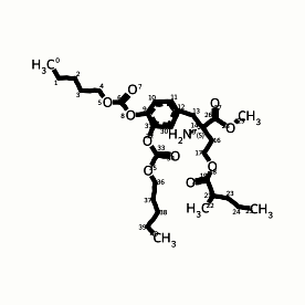 CCCCCOC(=O)Oc1ccc(C[C@](N)(CCOC(=O)C(C)CCC)C(=O)OC)cc1OC(=O)OCCCCC